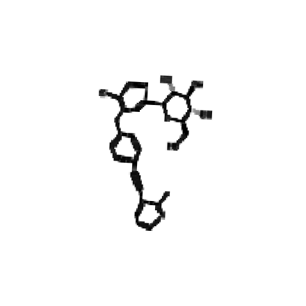 Cc1ncccc1C#Cc1ccc(Cc2cc([C@@H]3O[C@H](CO)[C@@H](O)[C@H](O)[C@H]3O)ccc2Cl)cc1